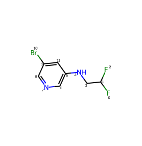 FC(F)CNc1cncc(Br)c1